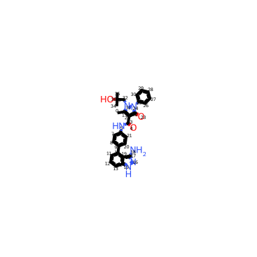 Cc1c(C(=O)Nc2ccc(-c3cccc4[nH]nc(N)c34)cc2)c(=O)n(-c2ccccc2)n1CC(C)(C)O